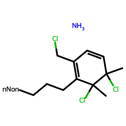 CCCCCCCCCCCCC1=C(CCl)C=CC(C)(Cl)C1(C)Cl.N